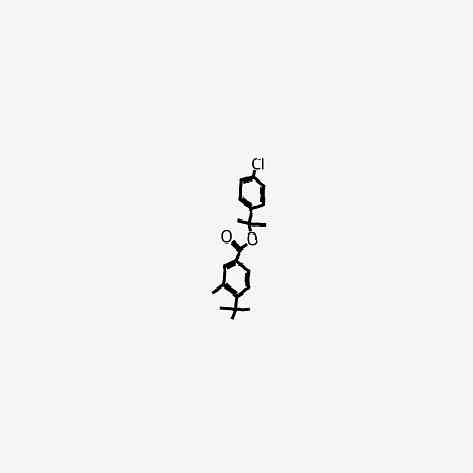 Cc1cc(C(=O)OC(C)(C)c2ccc(Cl)cc2)ccc1C(C)(C)C